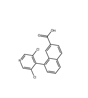 O=C(O)c1ccc2cccc(-c3c(Cl)cncc3Cl)c2c1